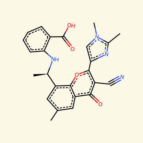 Cc1cc([C@@H](C)Nc2ccccc2C(=O)O)c2oc(-c3cn(C)c(C)n3)c(C#N)c(=O)c2c1